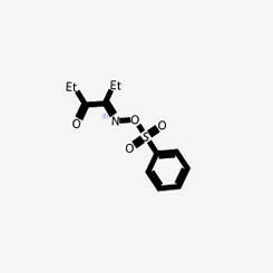 CCC(=O)/C(CC)=N/OS(=O)(=O)c1ccccc1